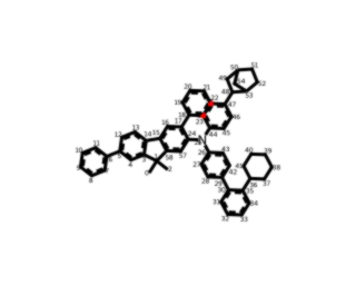 CC1(C)c2cc(-c3ccccc3)ccc2-c2cc(-c3ccccc3)c(N(c3ccc(-c4ccccc4C4CCCCC4)cc3)c3ccc(C4CC5CCC4C5)cc3)cc21